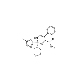 Cc1noc(C2(N3CCOCC3)N=C(C(N)=O)C(c3ccccc3)=CN2)n1